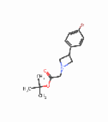 CC(C)(C)OC(=O)CN1CC(c2ccc(Br)cc2)C1